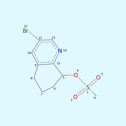 CS(=O)(=O)OC1CCCc2cc(Br)cnc21